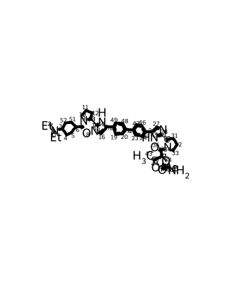 CCN(CC)C1CCC(C(=O)N2CCC[C@H]2c2ncc(-c3ccc(-c4ccc(-c5cnc([C@@H]6CCCN6C(=O)[C@@H](OC(N)=O)[C@@H](C)OC)[nH]5)cc4)cc3)[nH]2)CC1